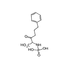 O=C(O)C(NP(=O)(O)O)C(=O)CCCc1ccccc1